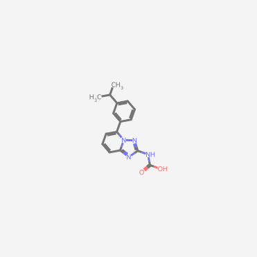 CC(C)c1cccc(-c2cccc3nc(NC(=O)O)nn23)c1